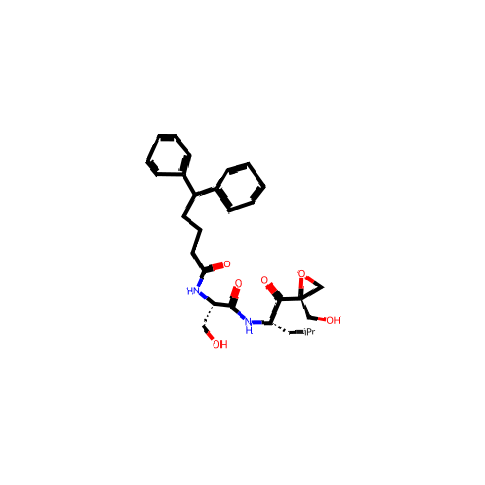 CC(C)C[C@H](NC(=O)[C@H](CO)NC(=O)CCCC(c1ccccc1)c1ccccc1)C(=O)[C@@]1(CO)CO1